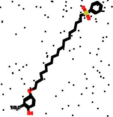 O=C(O)c1cc(OCCCCCCCCCCCCCCCCCCS(=O)(=O)c2ccccc2)ccc1O